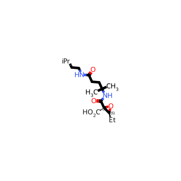 CC[C@@H]1O[C@]1(C(=O)O)C(=O)NC(C)(C)CCC(=O)NCCC(C)C